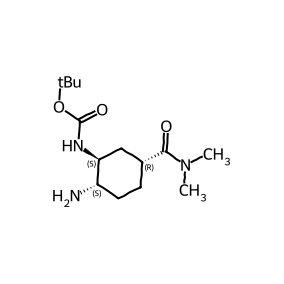 CN(C)C(=O)[C@@H]1CC[C@H](N)[C@@H](NC(=O)OC(C)(C)C)C1